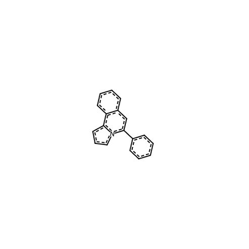 c1ccc(-c2cc3ccccc3c3cccn23)cc1